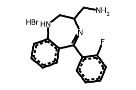 Br.NCC1CNc2ccccc2C(c2ccccc2F)=N1